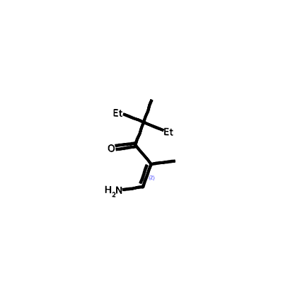 CCC(C)(CC)C(=O)/C(C)=C\N